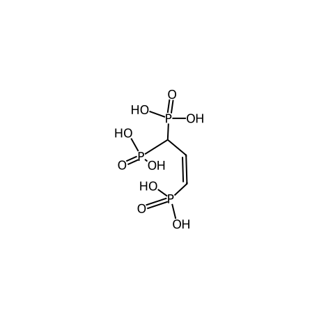 O=P(O)(O)/C=C\C(P(=O)(O)O)P(=O)(O)O